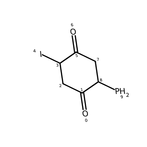 O=C1CC(I)C(=O)CC1P